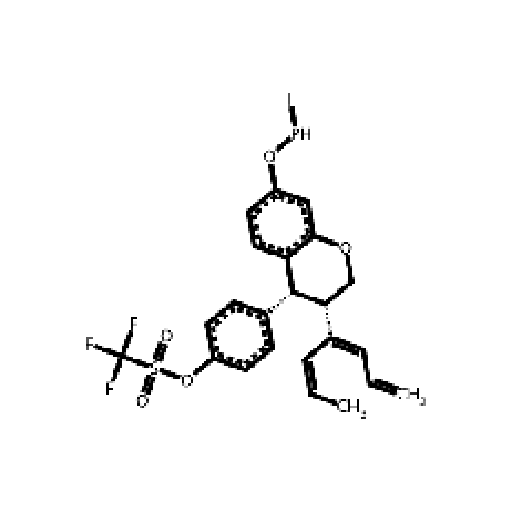 C=C/C=C(\C=C/C)[C@H]1COc2cc(OPI)ccc2[C@H]1c1ccc(OS(=O)(=O)C(F)(F)F)cc1